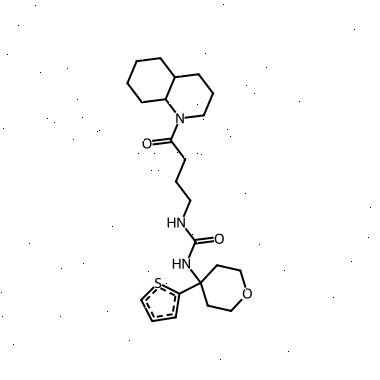 O=C(NCCCC(=O)N1CCCC2CCCCC21)NC1(c2cccs2)CCOCC1